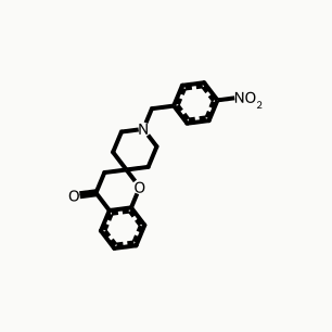 O=C1CC2(CCN(Cc3ccc([N+](=O)[O-])cc3)CC2)Oc2ccccc21